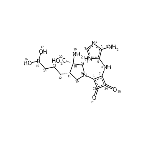 Nc1nc[nH]c1Nc1c(N2C[C@H](CCCB(O)O)[C@](N)(C(=O)O)C2)c(=O)c1=O